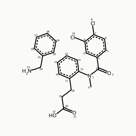 CN(C(=O)c1ccc(Cl)c(Cl)c1)c1ccccc1CCC(=O)O.NCc1ccccc1